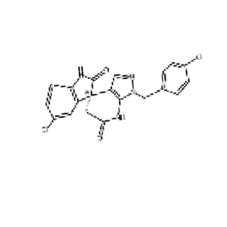 O=C1C[C@]2(C(=O)Nc3ccc(Cl)cc32)c2cnn(Cc3ccc(Cl)cc3)c2N1